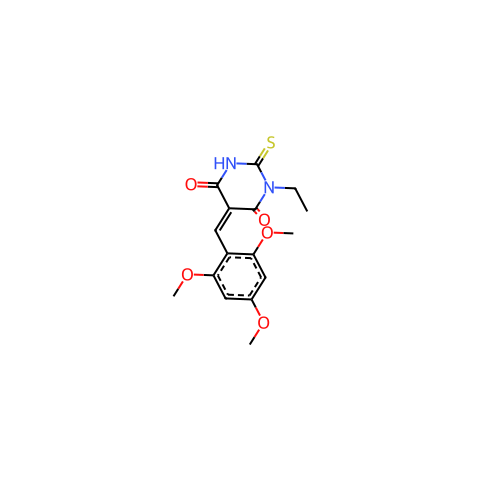 CCN1C(=O)/C(=C\c2c(OC)cc(OC)cc2OC)C(=O)NC1=S